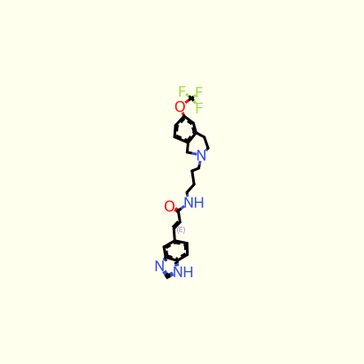 O=C(/C=C/c1ccc2[nH]cnc2c1)NCCCCN1CCc2cc(OC(F)(F)F)ccc2C1